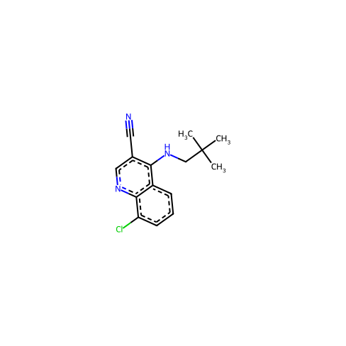 CC(C)(C)CNc1c(C#N)cnc2c(Cl)cccc12